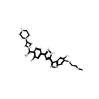 COCCOc1cc2[nH]nc(-c3cc(-c4ccc(C(O)N5CC(N6CCOCC6)C5)c(F)c4)no3)c2cc1F